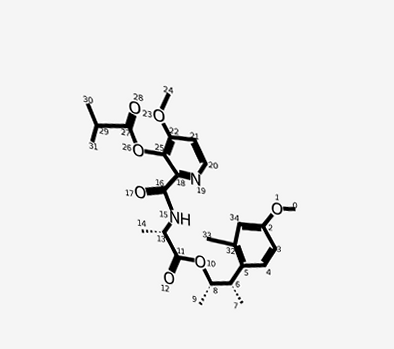 COc1ccc([C@H](C)[C@H](C)OC(=O)[C@H](C)NC(=O)c2nccc(OC)c2OC(=O)C(C)C)c(C)c1